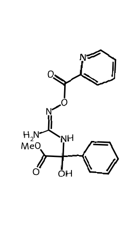 COC(=O)C(O)(NC(N)=NOC(=O)c1ccccn1)c1ccccc1